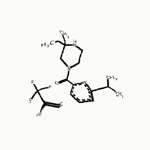 CC(C)c1cccc(C(=O)N2CCNC(C)(C)C2)n1.O=C(O)C(F)(F)F